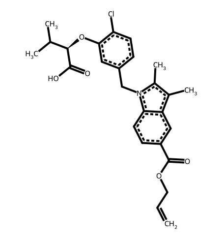 C=CCOC(=O)c1ccc2c(c1)c(C)c(C)n2Cc1ccc(Cl)c(O[C@@H](C(=O)O)C(C)C)c1